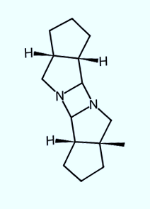 C[C@@]12CCC[C@@H]1C1N3C[C@@H]4CCC[C@@H]4C3N1C2